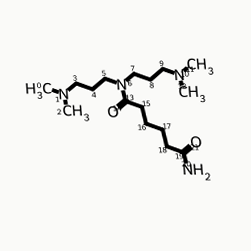 CN(C)CCCN(CCCN(C)C)C(=O)CCCCC(N)=O